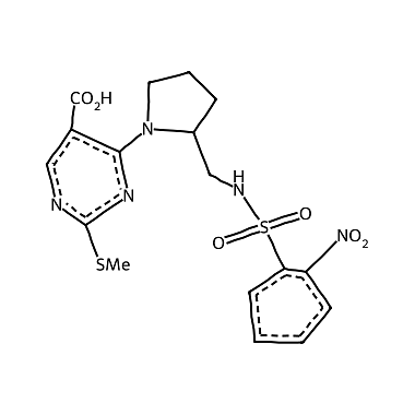 CSc1ncc(C(=O)O)c(N2CCCC2CNS(=O)(=O)c2ccccc2[N+](=O)[O-])n1